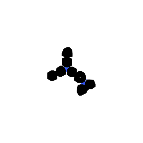 C1=CC(n2c3ccccc3c3ccccc32)=CCC=C1c1ccc(N(c2ccc(-c3ccccc3)cc2)c2ccc(-c3ccccc3)cc2)cc1